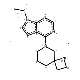 ISn1ccc2c(N3CCCC4(CCN4)C3)ncnc21